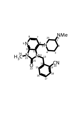 CNC1CCCN(c2ccnc3c2n(Cc2ccccc2C#N)c(=O)n3C)C1